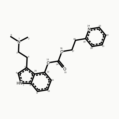 CN(C)CCc1c[nH]c2cccc(OC(=O)OCCc3ccccn3)c12